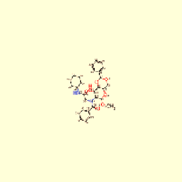 COC1OC2COC(c3ccccc3)OC2C(O)C1N(CC(=O)NC1CCCCC1)C(=O)c1ccccc1